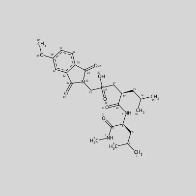 CNC(=O)[C@H](CC(C)C)NC(=O)[C@H](CC(C)C)CP(=O)(O)CN1C(=O)c2ccc(OC)cc2C1=O